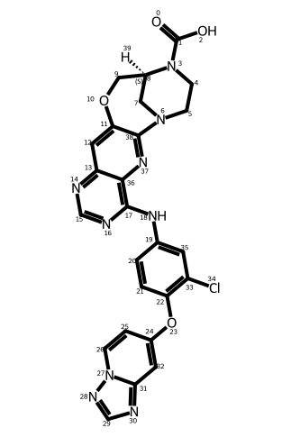 O=C(O)N1CCN2C[C@H]1COc1cc3ncnc(Nc4ccc(Oc5ccn6ncnc6c5)c(Cl)c4)c3nc12